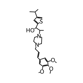 COc1cc(C=CCN2CCN(C(C)C(O)c3cc(C(C)C)cs3)CC2)cc(OC)c1OC